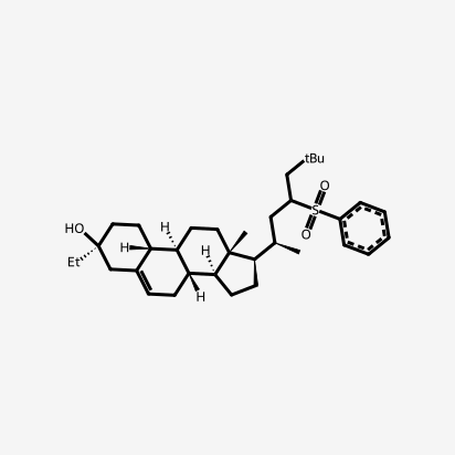 CC[C@]1(O)CC[C@H]2C(=CC[C@@H]3[C@@H]2CC[C@]2(C)[C@@H]([C@H](C)CC(CC(C)(C)C)S(=O)(=O)c4ccccc4)CC[C@@H]32)C1